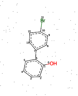 Oc1[c]cccc1-c1ccc(Br)cc1